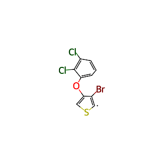 Clc1cccc(Oc2cs[c]c2Br)c1Cl